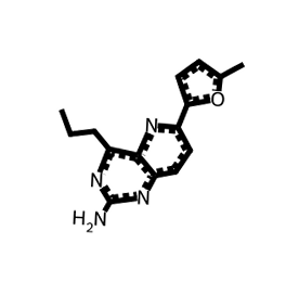 CCCc1nc(N)nc2ccc(-c3ccc(C)o3)nc12